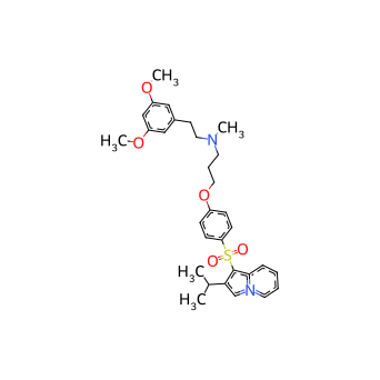 COc1cc(CCN(C)CCCOc2ccc(S(=O)(=O)c3c(C(C)C)cn4ccccc34)cc2)cc(OC)c1